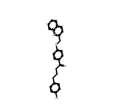 O=C(CCCc1ccc(Cl)cc1)c1ccc(OCc2ccc3ccccc3n2)cc1